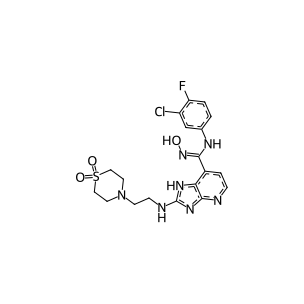 O=S1(=O)CCN(CCNc2nc3nccc(C(=NO)Nc4ccc(F)c(Cl)c4)c3[nH]2)CC1